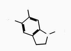 COc1cc2c(cc1C(F)(F)F)N(C(=O)O)CC2